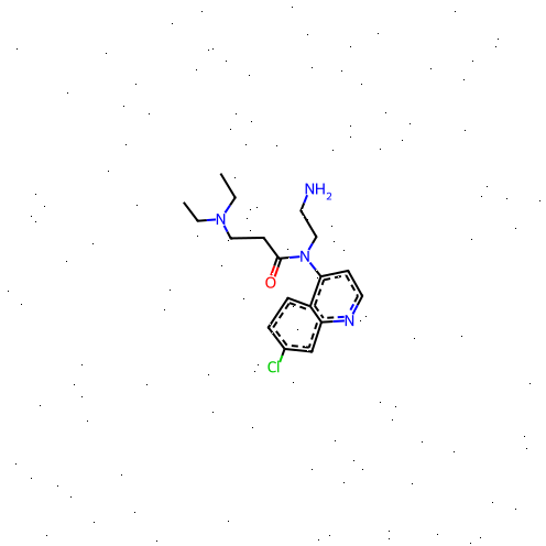 CCN(CC)CCC(=O)N(CCN)c1ccnc2cc(Cl)ccc12